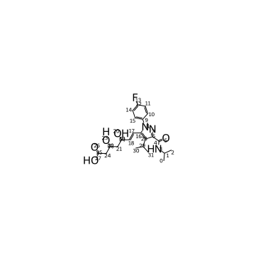 CC(C)NC(=O)c1nn(-c2ccc(F)cc2)c(C=C[C@H](O)C[C@@H](O)CC(=O)O)c1C(C)C